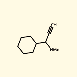 C#CC(NC)C1CCCCC1